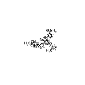 CN1CCC[C@H]1COc1nc(Nc2cccc(C(N)=O)c2)c(C#N)c(N2CCC3(CN(C(=O)OC(C)(C)C)C3)C2)n1